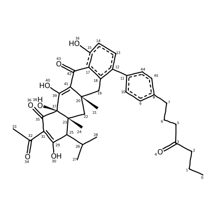 CCCC(=O)CCCc1ccc(-c2ccc(O)c3c2C[C@]2(C)C[C@]4(C)C(C(C)C)C(O)=C(C(C)=O)C(=O)[C@]4(O)C(O)=C2C3=O)cc1